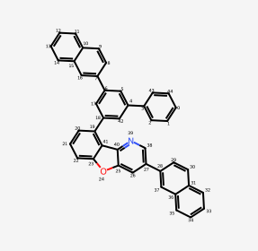 c1ccc(-c2cc(-c3ccc4ccccc4c3)cc(-c3cccc4oc5cc(-c6ccc7ccccc7c6)cnc5c34)c2)cc1